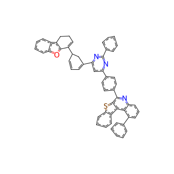 C1=CC(C2=CCCc3c2oc2ccccc32)CC(c2cc(-c3ccc(-c4nc5cccc(-c6ccccc6)c5c5c4sc4ccccc45)cc3)nc(-c3ccccc3)n2)=C1